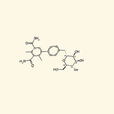 Cc1c(C(N)=O)cc(-c2ccc(C[C@H]3O[C@H](CO)[C@@H](O)[C@H](O)[C@@H]3O)cc2)c(C)c1C(N)=O